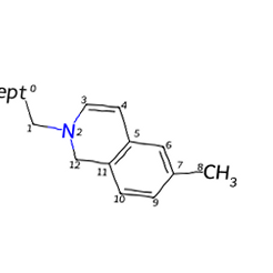 CCCCCCCCN1C=Cc2cc(C)ccc2C1